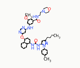 CCCCc1cc(NC(=O)Nc2ccc(Oc3cc(Nc4cc(OC)cc(C(=O)NCCN5CCOCC5)c4)ncn3)c3ccccc23)n(-c2ccc(C)cc2)n1